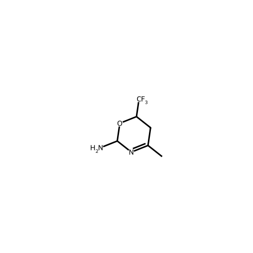 CC1=NC(N)OC(C(F)(F)F)C1